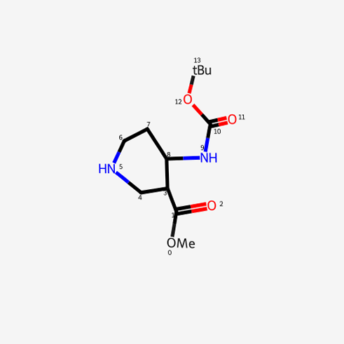 COC(=O)C1CNCCC1NC(=O)OC(C)(C)C